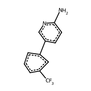 Nc1ccc(-c2cccc(C(F)(F)F)c2)cn1